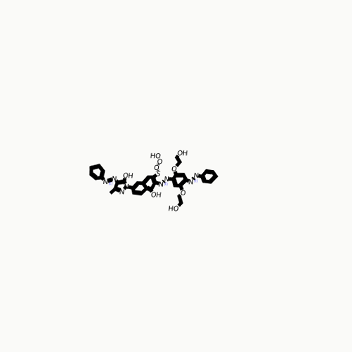 Cc1nn(-c2ccc3c(O)c(/N=N/c4cc(OCCO)c(/N=N/c5ccccc5)cc4OCCO)c(SOOO)cc3c2)c(O)c1/N=N/c1ccccc1